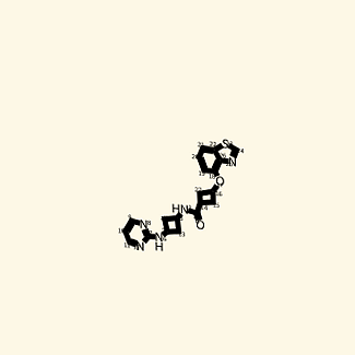 O=C(NC1CC(Nc2ncccn2)C1)C1CC(Oc2cccc3scnc23)C1